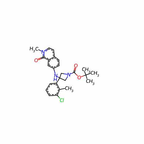 Cc1c(Cl)cccc1C1(Nc2ccc3ccn(C)c(=O)c3c2)CN(C(=O)OC(C)(C)C)C1